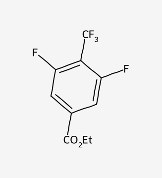 CCOC(=O)c1cc(F)c(C(F)(F)F)c(F)c1